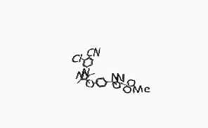 COC(=O)c1nnc(-c2ccc(Oc3c(C)nn(-c4ccc(C#N)c(Cl)c4)c3C)cc2)o1